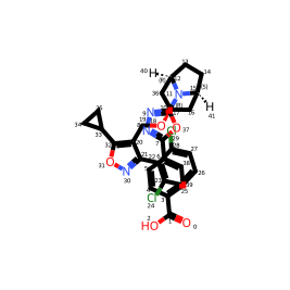 O=C(O)c1ccc(-c2nnc(N3[C@@H]4CC[C@H]3C[C@@H](OCc3c(-c5c(Cl)cccc5Cl)noc3C3CC3)C4)o2)cc1